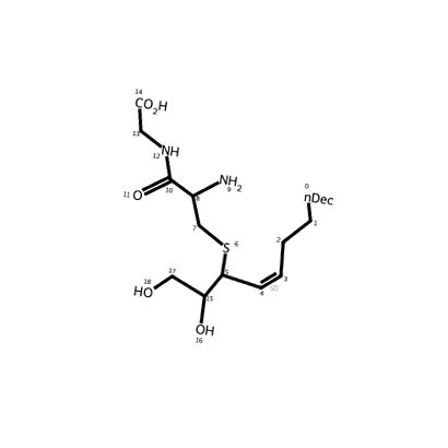 CCCCCCCCCCCC/C=C\C(SCC(N)C(=O)NCC(=O)O)C(O)CO